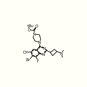 CN(C)C1CC(c2nc(N3CCN(C(=O)OC(C)(C)C)CC3)c3cc(Cl)c(Br)c(F)c3n2)C1